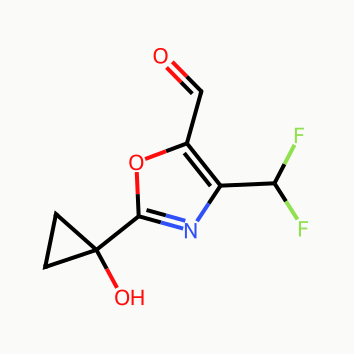 O=Cc1oc(C2(O)CC2)nc1C(F)F